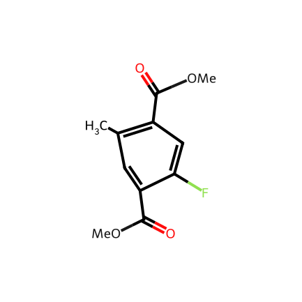 COC(=O)c1cc(F)c(C(=O)OC)cc1C